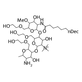 CCCCCCCCCCCCCCCC(=O)NC1C(OC2C(COCCO)OC(OC3C(COCCO)OC(C)C(N)C3O)C([N+](C)(C)C)C2O)OC(COCCO)C(OC)C1O